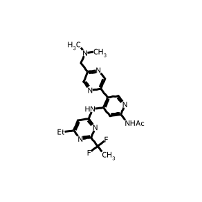 CCc1cc(Nc2cc(NC(C)=O)ncc2-c2cnc(CN(C)C)cn2)nc(C(C)(F)F)n1